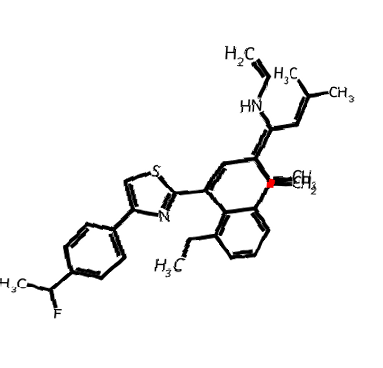 C=CN/C(C=C(C)C)=C(C=C)\C=C(\c1nc(-c2ccc(C(C)F)cc2)cs1)c1c(CC)cccc1CC